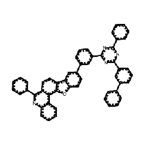 c1ccc(-c2cccc(-c3nc(-c4ccccc4)nc(-c4cccc(-c5ccc6oc7c(ccc8c(-c9ccccc9)nc9ccccc9c87)c6c5)c4)n3)c2)cc1